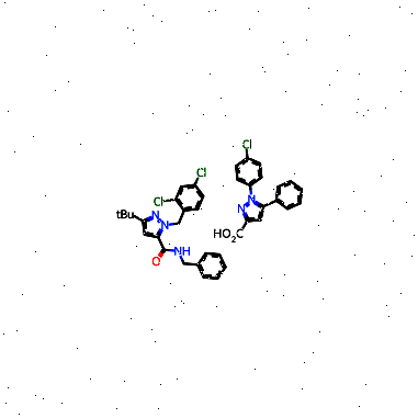 CC(C)(C)c1cc(C(=O)NCc2ccccc2)n(Cc2ccc(Cl)cc2Cl)n1.O=C(O)c1cc(-c2ccccc2)n(-c2ccc(Cl)cc2)n1